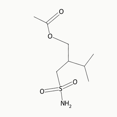 CC(=O)OCC(CS(N)(=O)=O)C(C)C